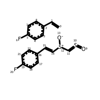 C=Cc1ccc(F)cc1.O=S=C[S+]([O-])C=Cc1ccc(F)cc1